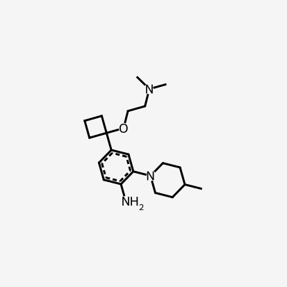 CC1CCN(c2cc(C3(OCCN(C)C)CCC3)ccc2N)CC1